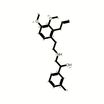 C=CCc1c(CCNCC(O)c2cccc(C)c2)ccc(OC)c1OC